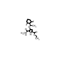 CCOC(=O)c1cc(OC(C)c2c(F)cccc2F)c(C(=O)NC)[nH]1